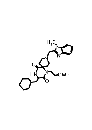 COCCN1C(=O)C(CC2CCCCC2)NC(=O)C12CCN(Cc1nc3ccccc3n1C)CC2